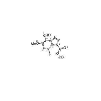 CCCCOC(=O)n1ccc2c(C=O)c(OC)cc(C)c21